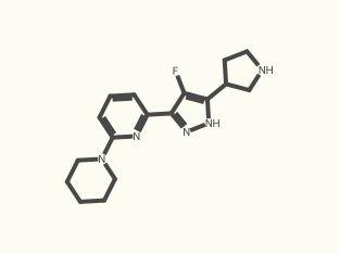 Fc1c(-c2cccc(N3CCCCC3)n2)n[nH]c1C1CCNC1